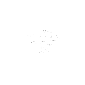 COc1cccc2c1-c1ccc(C(OC)C(N)=O)cc1C(c1ccc(Br)s1)O2